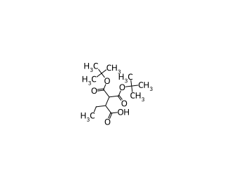 CCC(C(=O)O)C(C(=O)OC(C)(C)C)C(=O)OC(C)(C)C